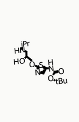 CC(C)NCC(O)COc1ncc(NC(=O)OC(C)(C)C)s1